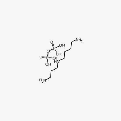 NCCCCNCCCN.O=P(O)(O)OP(=O)(O)O